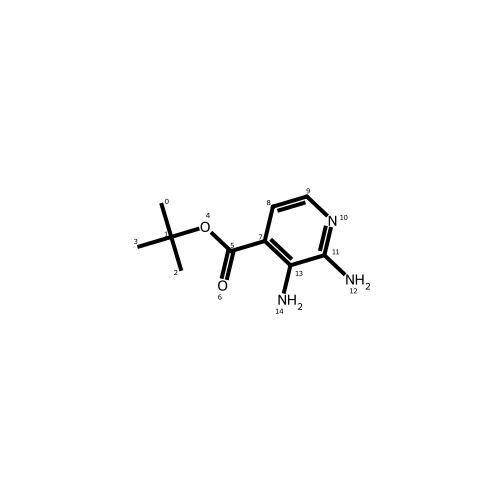 CC(C)(C)OC(=O)c1ccnc(N)c1N